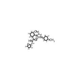 Cc1ccc(NCC(C=O)Nc2ccccc2C(=O)NCc2ccco2)cc1